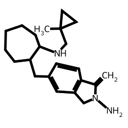 C=C1c2ccc(CC3CCCCCC3NCC3(C)CC3)cc2CN1N